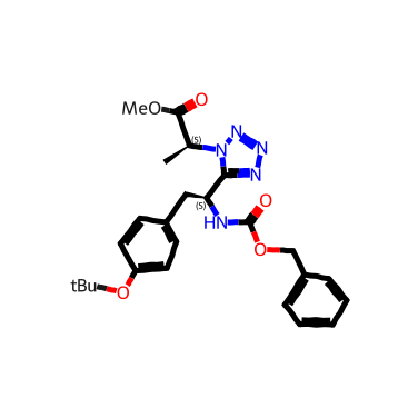 COC(=O)[C@H](C)n1nnnc1[C@H](Cc1ccc(OC(C)(C)C)cc1)NC(=O)OCc1ccccc1